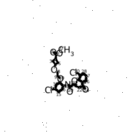 COC(=O)C1CC(OCCOc2cc(Cl)ccc2NC(=O)c2cc(=O)c3cccc(Cl)c3o2)C1